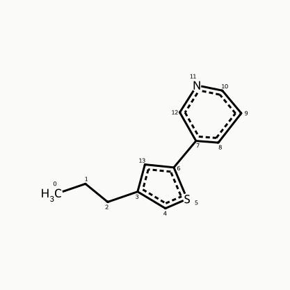 CCCc1csc(-c2cccnc2)c1